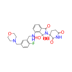 O=C1CCC(O)(N2C(=O)c3cccc(NCc4cc(CN5CCOCC5)ccc4F)c3C2(O)O)C(=O)N1